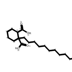 CCCCCCCCCCCC1(C(=O)O)CCCCC1C(=O)O